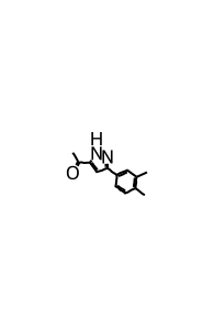 CC(=O)c1cc(-c2ccc(C)c(C)c2)n[nH]1